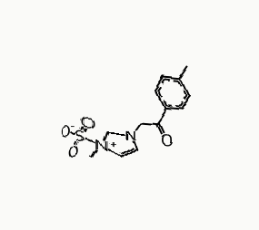 Cc1ccc(C(=O)CN2C=C[N+](C)(S(=O)(=O)[O-])C2)cc1